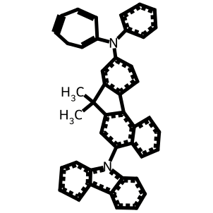 CC1(C)c2cc(N(C3=CCC#CC=C3)c3ccccc3)ccc2-c2c1cc(-n1c3ccccc3c3ccccc31)c1ccccc21